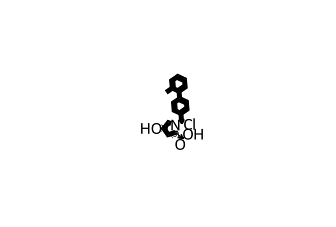 Cc1ccccc1-c1ccc(C(Cl)N2C[C@H](O)C[C@H]2C(=O)O)cc1